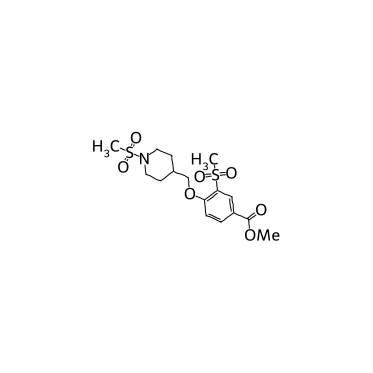 COC(=O)c1ccc(OCC2CCN(S(C)(=O)=O)CC2)c(S(C)(=O)=O)c1